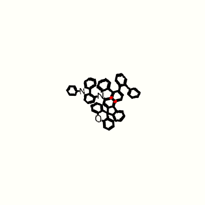 c1ccc(-c2ccccc2-c2ccccc2-c2ccccc2N(c2ccc3c(c2)C2(c4ccccc4Oc4ccccc42)c2ccccc2-3)c2cccc3c2c2ccccc2n3-c2ccccc2)cc1